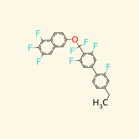 CCc1ccc(-c2cc(F)c(C(F)(F)Oc3ccc4c(F)c(F)c(F)cc4c3)c(F)c2)c(F)c1